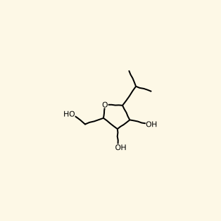 CC(C)C1OC(CO)C(O)C1O